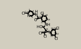 O=C(Nc1ccc(Cl)nc1)c1cc(NC(O)C2C(c3cc(Cl)cc(Cl)c3)C2(Cl)Cl)ccc1Cl